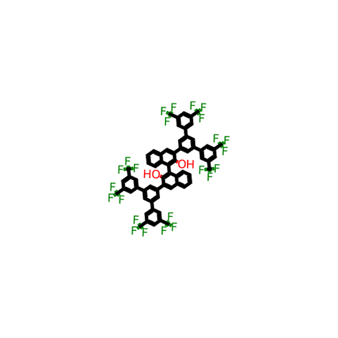 Oc1c(-c2cc(-c3cc(C(F)(F)F)cc(C(F)(F)F)c3)cc(-c3cc(C(F)(F)F)cc(C(F)(F)F)c3)c2)cc2ccccc2c1-c1c(O)c(-c2cc(-c3cc(C(F)(F)F)cc(C(F)(F)F)c3)cc(-c3cc(C(F)(F)F)cc(C(F)(F)F)c3)c2)cc2ccccc12